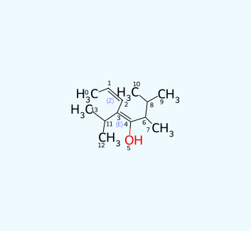 C/C=C\C(=C(\O)C(C)C(C)C)C(C)C